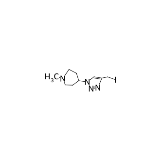 CN1CCC(n2cc(CI)nn2)CC1